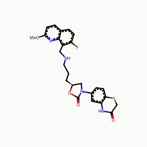 COc1ccc2ccc(F)c(CNCCC[C@H]3CN(c4ccc5c(c4)NC(=O)CS5)C(=O)O3)c2n1